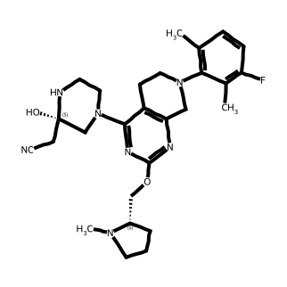 Cc1ccc(F)c(C)c1N1CCc2c(nc(OC[C@@H]3CCCN3C)nc2N2CCN[C@](O)(CC#N)C2)C1